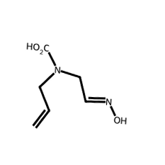 C=CCN(CC=NO)C(=O)O